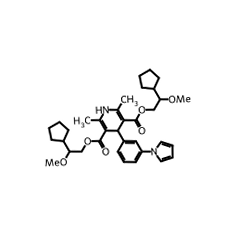 COC(COC(=O)C1=C(C)NC(C)=C(C(=O)OCC(OC)C2CCCC2)C1c1cccc(-n2cccc2)c1)C1CCCC1